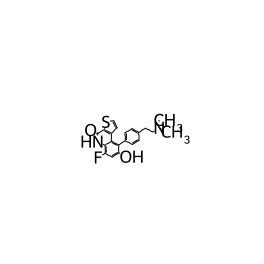 CN(C)CCc1ccc(-c2c(O)cc(F)c3[nH]c(=O)c4sccc4c23)cc1